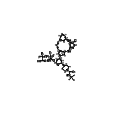 CC(C)(C)NC(=O)N1CCN(c2cc(-c3cc4cc(c3)Nc3ncc(Cl)c(n3)Nc3cccc(c3)OCC4)ccn2)CC1.O=C(O)C(F)(F)F.O=C(O)C(F)(F)F